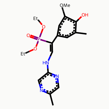 CCOP(=O)(OCC)C(=CNc1cnc(C)cn1)c1cc(C)c(O)c(OC)c1